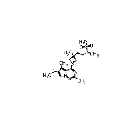 COc1cn2nc(C)nc(N3CC(C)(CCN(C)S(N)(=O)=O)C3)c2c1C